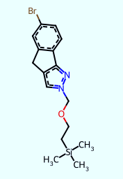 C[Si](C)(C)CCOCn1cc2c(n1)-c1ccc(Br)cc1C2